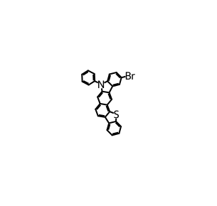 Brc1ccc2c(c1)c1cc3c(ccc4c5ccccc5sc34)cc1n2-c1ccccc1